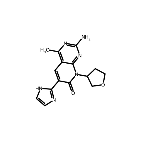 Cc1nc(N)nc2c1cc(-c1ncc[nH]1)c(=O)n2C1CCOC1